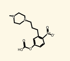 CN1CCN(CCCc2cc(OC(=O)O)ccc2[N+](=O)[O-])CC1